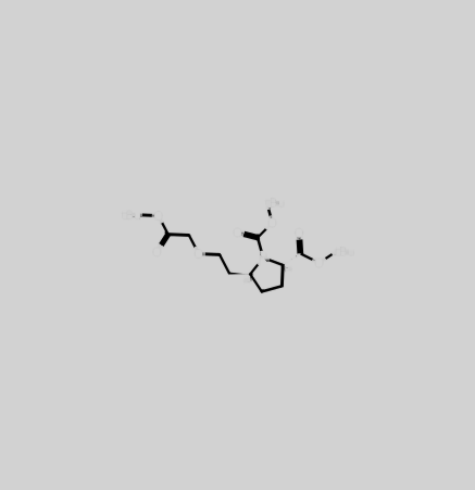 CC(C)(C)OC(=O)COCC[C@@H]1CC[C@@H](C(=O)OC(C)(C)C)N1C(=O)OC(C)(C)C